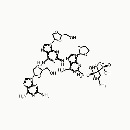 N=c1nc2c(ncn2[C@H]2CO[C@@H](CO)O2)c(N)[nH]1.NCCC(O)(P(=O)(O)O)P(=O)(O)O.Nc1nc(N)c2ncn(C3OCCO3)c2n1.Nc1nc(N)c2ncn([C@H]3CO[C@@H](CO)O3)c2n1